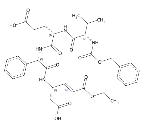 CCOC(=O)/C=C/[C@H](CC(=O)O)NC(=O)[C@@H](NC(=O)[C@H](CCC(=O)O)NC(=O)[C@@H](NC(=O)OCc1ccccc1)C(C)C)c1ccccc1